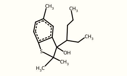 CCCC(CC)C1(O)c2cc(C)ccc2SC1(C)C